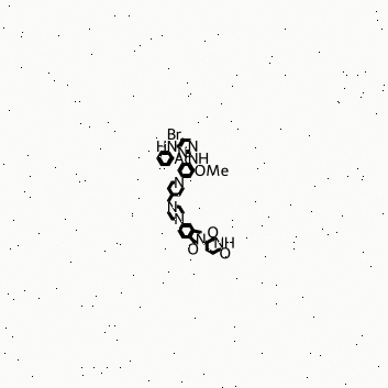 COc1cc(N2CCC(CN3CCN(c4ccc5c(c4)CN(C4CCC(=O)NC4=O)C5=O)CC3)CC2)ccc1Nc1ncc(Br)c(Nc2ccccc2C(C)=O)n1